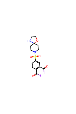 O=C(I)c1ccc(S(=O)(=O)N2CCC3(CC2)NCCO3)cc1C(=O)I